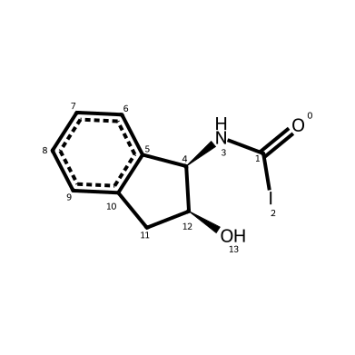 O=C(I)N[C@@H]1c2ccccc2C[C@@H]1O